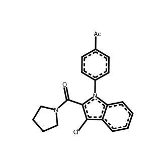 CC(=O)c1ccc(-n2c(C(=O)N3CCCC3)c(Cl)c3ccccc32)cc1